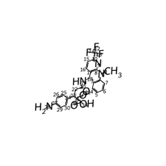 CN(c1ccccc1)c1nc(C(F)(F)F)ccc1CNC(=O)CC(c1ccc(N)cc1)S(=O)(=O)O